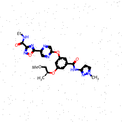 CCNC(=O)c1noc(-c2cnc(Oc3cc(O[C@@H](C)COC)cc(C(=O)Nc4ccn(C)n4)c3)cn2)n1